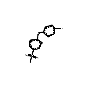 CS(=O)(=O)c1ccc(Sc2ccc(Cl)cc2)cc1